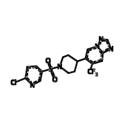 O=S(=O)(c1ccc(Cl)nc1)N1CCC(c2cn3ncnc3cc2C(F)(F)F)CC1